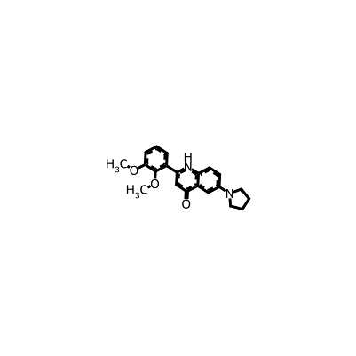 COc1cccc(-c2cc(=O)c3cc(N4CCCC4)ccc3[nH]2)c1OC